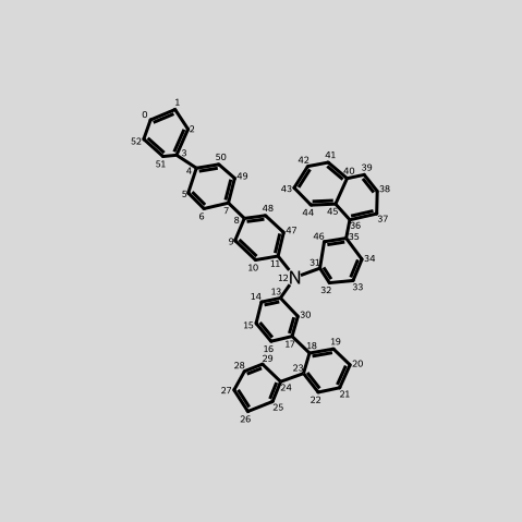 c1ccc(-c2ccc(-c3ccc(N(c4cccc(-c5ccccc5-c5ccccc5)c4)c4cccc(-c5cccc6ccccc56)c4)cc3)cc2)cc1